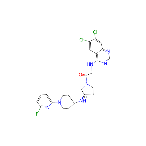 O=C(CNc1ncnc2cc(Cl)c(Cl)cc12)N1CC[C@@H](NC2CCN(c3cccc(F)n3)CC2)C1